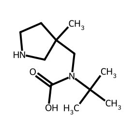 CC1(CN(C(=O)O)C(C)(C)C)CCNC1